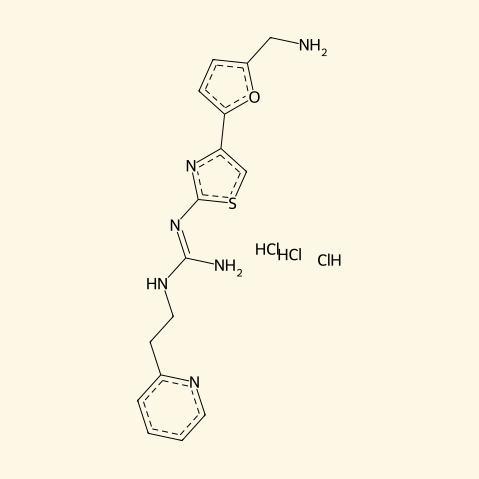 Cl.Cl.Cl.NCc1ccc(-c2csc(/N=C(\N)NCCc3ccccn3)n2)o1